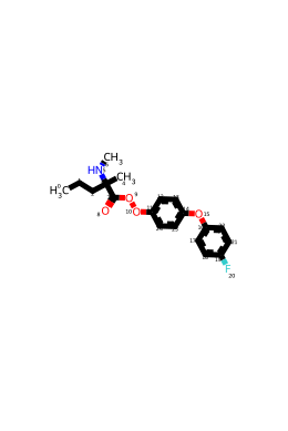 CCCC(C)(NC)C(=O)OOc1ccc(Oc2ccc(F)cc2)cc1